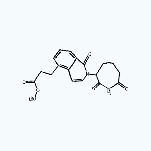 CC(C)(C)OC(=O)CCc1cccc2c(=O)n(C3CCCC(=O)NC3=O)ccc12